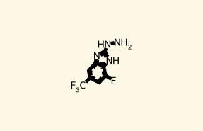 NNc1nc2cc(C(F)(F)F)cc(F)c2[nH]1